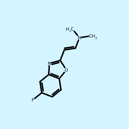 CN(C)/C=C/c1nc2cc(F)ccc2o1